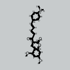 COc1cc(OC)c2cc(C(=O)C=CC=Cc3ccc(N(C)C)cc3)c(=O)oc2c1